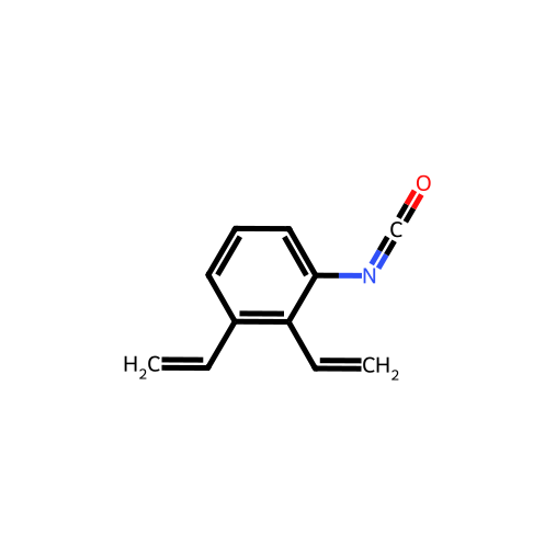 C=Cc1cccc(N=C=O)c1C=C